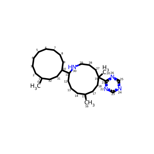 CC1CCCCCCCCC(C2CCCC(C)CCC(C)(c3ncncn3)CCCN2)CC1